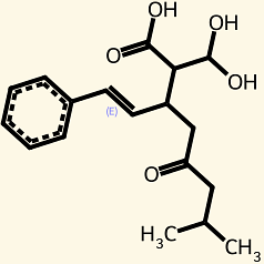 CC(C)CC(=O)CC(/C=C/c1ccccc1)C(C(=O)O)C(O)O